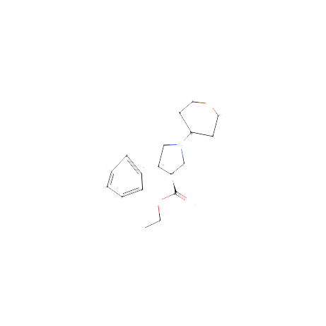 CCOC(=O)[C@@H]1CN(C2CCOCC2)C[C@H]1c1ccccc1